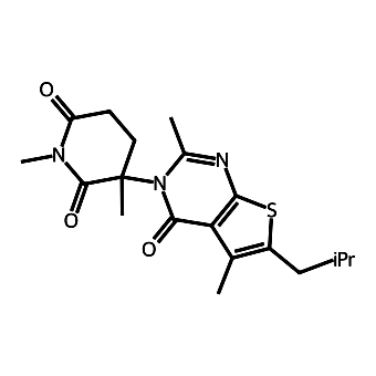 Cc1c(CC(C)C)sc2nc(C)n(C3(C)CCC(=O)N(C)C3=O)c(=O)c12